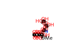 CC[C@@]1(O)C[C@H](O[C@H]2C[C@H](N(C)C)[C@H](O[C@H]3C[C@H](O)[C@H](O[C@H]4C[C@H](O)[C@H](O)[C@H](C)O4)[C@H](C)O3)[C@H](C)O2)c2c(cc3c(c2O)C(=O)c2c(O)ccc(O)c2C3=O)[C@H]1C(=O)OC